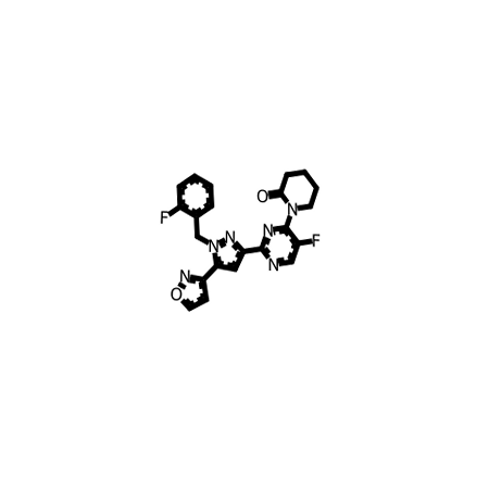 O=C1CCCCN1c1nc(-c2cc(-c3ccon3)n(Cc3ccccc3F)n2)ncc1F